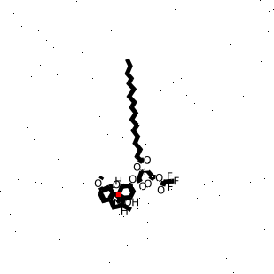 CCCCCCCCCCCCCCCCCC(=O)O[C@@H](CC(=O)OC(=O)C(F)(F)F)C(=O)OC1=CC[C@@]2(O)[C@H]3Cc4ccc(OC)c5c4[C@@]2(CCN3C)[C@H]1O5